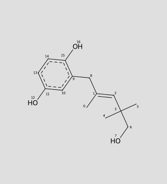 C/C(=C\C(C)(C)CO)Cc1cc(O)ccc1O